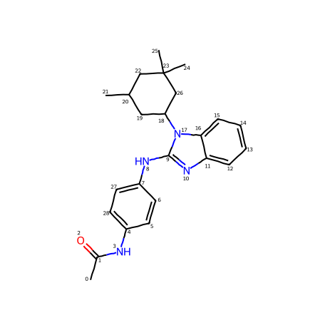 CC(=O)Nc1ccc(Nc2nc3ccccc3n2C2CC(C)CC(C)(C)C2)cc1